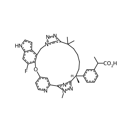 CC(C(=O)O)c1cccc([C@@]2(C)CCCCC(C)(C)c3cn(nn3)Cc3c(c(F)cc4[nH]ccc34)Oc3ccnc(c3)-c3nc2nn3C)c1